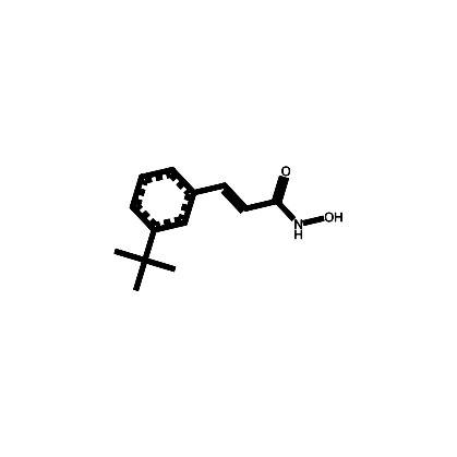 CC(C)(C)c1cccc(/C=C/C(=O)NO)c1